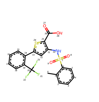 Cc1ccccc1S(=O)(=O)Nc1cc(-c2ccccc2C(F)(F)F)sc1C(=O)O